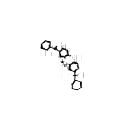 CC(C)(C1=CCCC=C1)c1ccc2c(c1)S(=O)(=O)c1cc(C(C)(C)c3ccccc3)ccc1N2